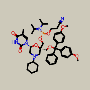 COc1ccc(C(OC[C@]2(COP(OCCC#N)N(C(C)C)C(C)C)CN(C3CCCCC3)C[C@H](n3cc(C)c(=O)[nH]c3=O)O2)(c2ccccc2)c2ccc(OC)cc2)cc1